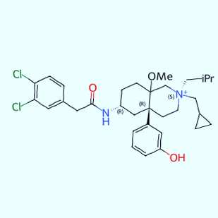 COC12CC[C@@H](NC(=O)Cc3ccc(Cl)c(Cl)c3)C[C@@]1(c1cccc(O)c1)CC[N@+](CC(C)C)(CC1CC1)C2